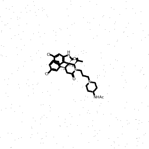 C=C(C)[C@H]1N(CCCN2CCC(NC(C)=O)CC2)C(=O)C[C@@H](c2cccc(Cl)c2)[C@]12C(=O)Nc1cc(Cl)ccc12